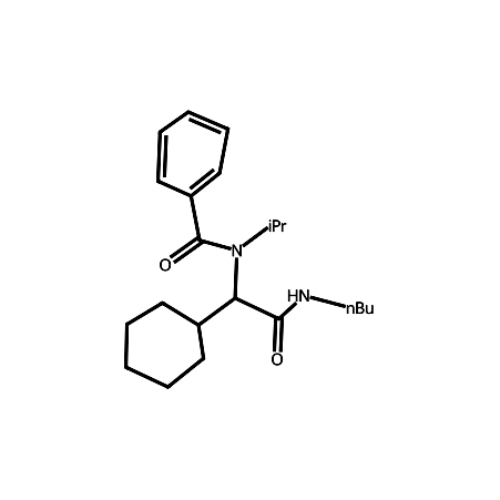 CCCCNC(=O)C(C1CCCCC1)N(C(=O)c1ccccc1)C(C)C